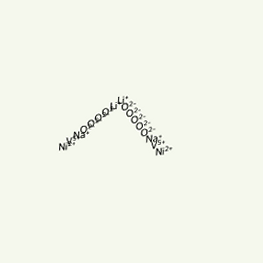 [Li+].[Li+].[Na+].[Na+].[Ni+2].[Ni+2].[O-2].[O-2].[O-2].[O-2].[O-2].[O-2].[O-2].[O-2].[O-2].[V+5].[V+5]